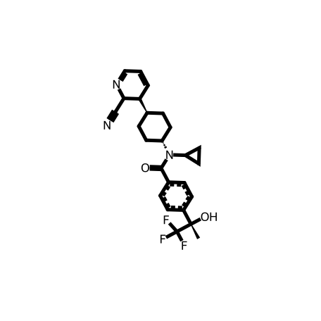 C[C@](O)(c1ccc(C(=O)N(C2CC2)[C@H]2CC[C@H](C3C=CC=NC3C#N)CC2)cc1)C(F)(F)F